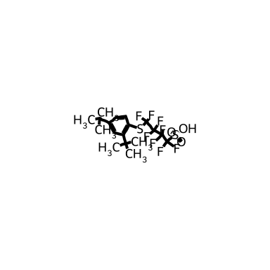 CC(C)(C)c1ccc(SC(F)(F)C(F)(F)C(F)(F)C(F)(F)S(=O)(=O)O)c(C(C)(C)C)c1